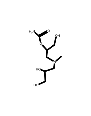 CN(CC(O)CO)CC(CO)OC(N)=O